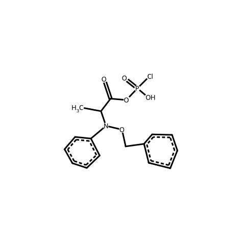 CC(C(=O)OP(=O)(O)Cl)N(OCc1ccccc1)c1ccccc1